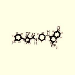 O=C(N[C@H]1CC[C@@H](Nc2cc(C(F)(F)F)nc3ccc(Cl)cc23)CC1)c1cnn(-c2cccc(F)c2)c1C(F)(F)F